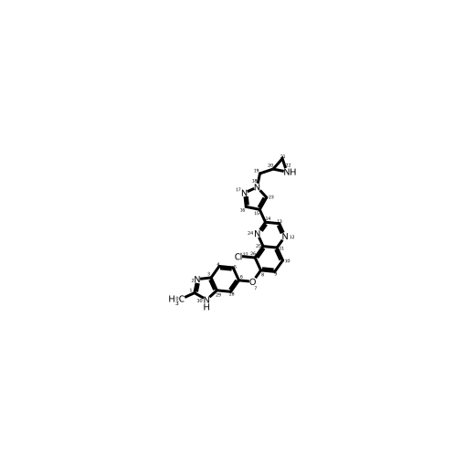 Cc1nc2ccc(Oc3ccc4ncc(-c5cnn(CC6CN6)c5)nc4c3Cl)cc2[nH]1